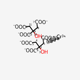 O=C([O-])CC(O)(CC(=O)[O-])C(=O)[O-].O=C([O-])CC(O)(CC(=O)[O-])C(=O)[O-].[Cr+3].[Na+].[Na+].[Na+]